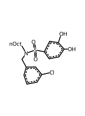 CCCCCCCCN(Cc1cccc(Cl)c1)S(=O)(=O)c1ccc(O)c(O)c1